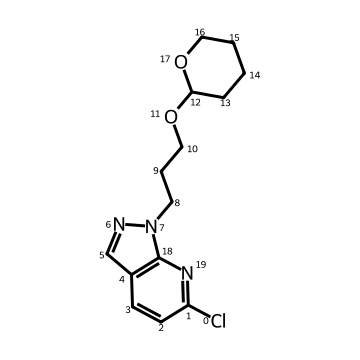 Clc1ccc2cnn(CCCOC3CCCCO3)c2n1